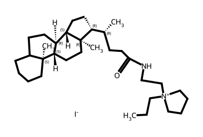 CCC[N+]1(CCNC(=O)CC[C@@H](C)[C@H]2CC[C@H]3[C@@H]4CCC5CCCC[C@]5(C)[C@H]4CC[C@]23C)CCCC1.[I-]